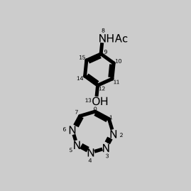 C1=CN=NN=NN=C1.CC(=O)Nc1ccc(O)cc1